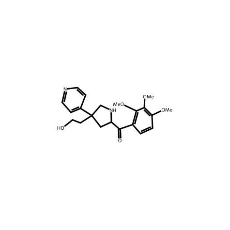 COc1ccc(C(=O)C2CC(CCO)(c3ccncc3)CN2)c(OC)c1OC